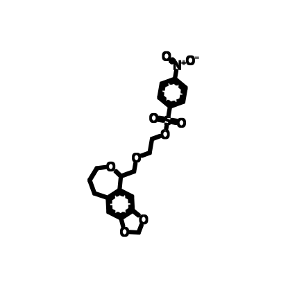 O=[N+]([O-])c1ccc(S(=O)(=O)OCCOCC2OCCCc3cc4c(cc32)OCO4)cc1